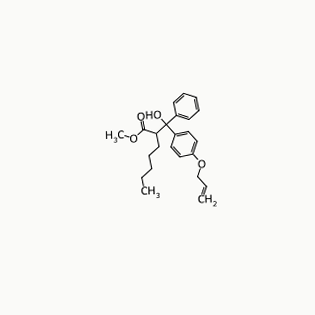 C=CCOc1ccc(C(O)(c2ccccc2)C(CCCCC)C(=O)OC)cc1